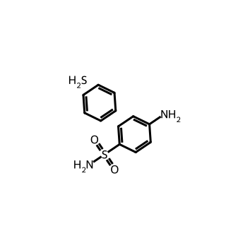 Nc1ccc(S(N)(=O)=O)cc1.S.c1ccccc1